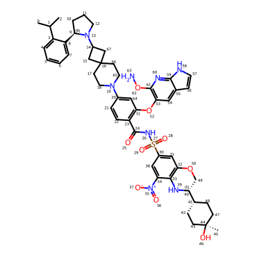 CC(C)c1ccccc1[C@H]1CCCN1C1CC2(CCN(c3ccc(C(=O)NS(=O)(=O)c4cc5c(c([N+](=O)[O-])c4)N[C@@H]([C@H]4CC[C@](C)(O)CC4)CO5)c(Oc4cc5cc[nH]c5nc4ON)c3)CC2)C1